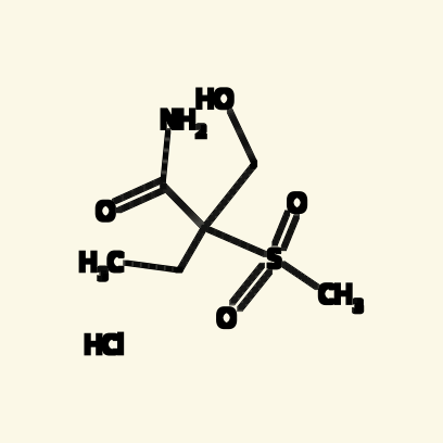 CCC(CO)(C(N)=O)S(C)(=O)=O.Cl